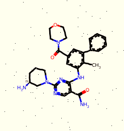 Cc1c(Nc2nc(N3CCC[C@H](N)C3)ncc2C(N)=O)cc(C(=O)N2CCOCC2)cc1-c1ccccc1